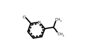 CC(C)c1cccc(Cl)n1